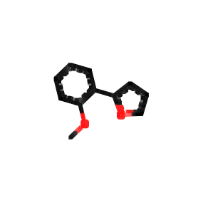 COc1ccccc1-c1ccco1